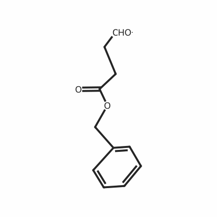 O=[C]CCC(=O)OCc1ccccc1